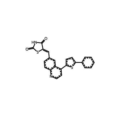 O=C1NC(=O)/C(=C/c2ccc3nccc(-c4ccc(-c5ccccc5)s4)c3c2)S1